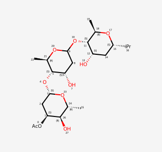 CC(=O)O[C@H]1C[C@H](O[C@H]2[C@@H](O)CC(O[C@H]3[C@@H](O)C[C@@H](C(C)C)O[C@@H]3C)O[C@@H]2C)O[C@H](C)[C@H]1O